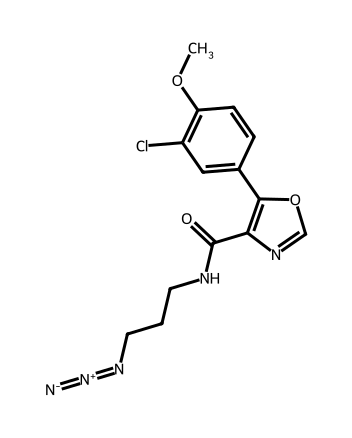 COc1ccc(-c2ocnc2C(=O)NCCCN=[N+]=[N-])cc1Cl